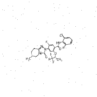 CC1CCc2nn(-c3cc(O[C@@H](C)C(F)(F)F)c(C(=O)Nc4c(F)cccc4Cl)cc3F)c(=O)n2C1